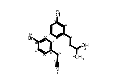 CC(O)CCc1cccc(Cl)c1.N#CCc1ccc(Br)cc1